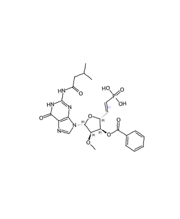 CO[C@@H]1[C@H](OC(=O)c2ccccc2)[C@@H](/C=C/P(=O)(O)O)O[C@H]1n1cnc2c(=O)[nH]c(NC(=O)CC(C)C)nc21